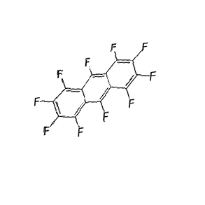 Fc1c(F)c(F)c2c(F)c3c(F)c(F)c(F)c(F)c3c(F)c2c1F